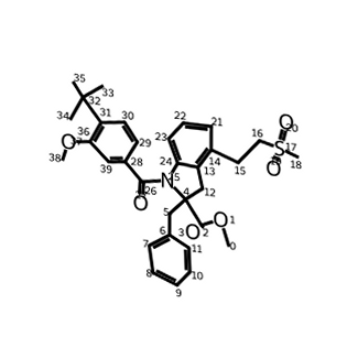 COC(=O)C1(Cc2ccccc2)Cc2c(CCS(C)(=O)=O)cccc2N1C(=O)c1ccc(C(C)(C)C)c(OC)c1